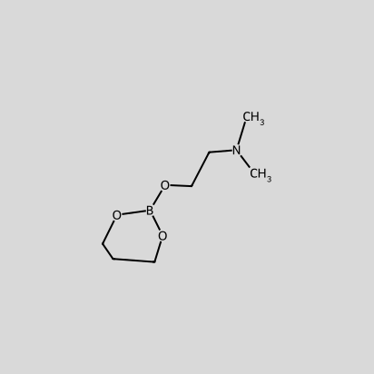 CN(C)CCOB1OCCCO1